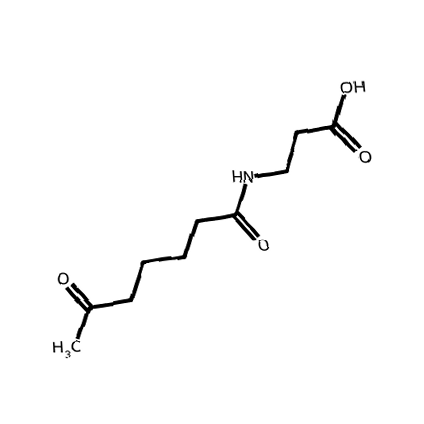 CC(=O)CCCCC(=O)NCCC(=O)O